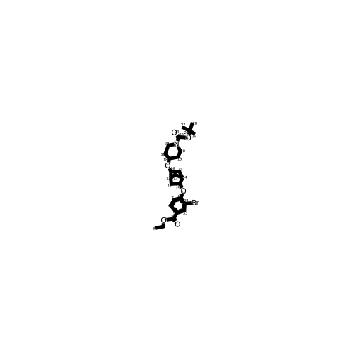 CCOC(=O)c1ccc(OC2CC3CC2CC3OC2CCN(C(=O)OC(C)(C)C)CC2)c(Br)c1